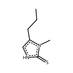 CCCc1c[nH]c(=S)n1C